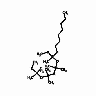 CCCCCCCC[Si](C)(OC)O[Si](C)(C)O[Si](C)(C)O[Si](C)(C)OC